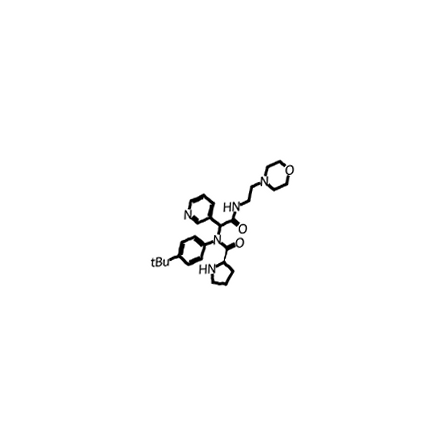 CC(C)(C)c1ccc(N(C(=O)[C@H]2CCCN2)C(C(=O)NCCN2CCOCC2)c2cccnc2)cc1